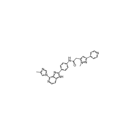 Cc1cn(-c2nccc3[nH]c(-c4ccc(NC(=O)Cc5cc(-c6ccncc6)nn5C)cc4)nc23)cn1